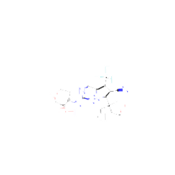 CCC1(c2c(C#N)c(C(F)(F)F)c3cnc(N[C@@H]4CCOC[C@H]4O)nn23)CCOC1